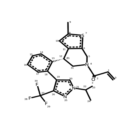 C=CC(=O)N1Cc2sc(C)cc2[C@@H](c2ccccc2-c2cn(C(C)C)nc2C(F)(F)F)C1